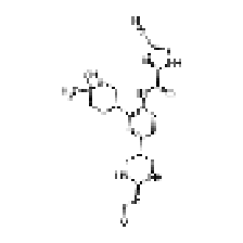 CC1(C)CC=C(c2cc(C3CNC(=NC=O)NC3)ccc2NC(=O)c2nc(C#N)c[nH]2)CC1